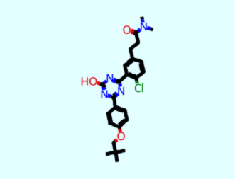 CN(C)C(=O)CCc1ccc(Cl)c(-c2nc(O)nc(-c3ccc(OCC(C)(C)C)cc3)n2)c1